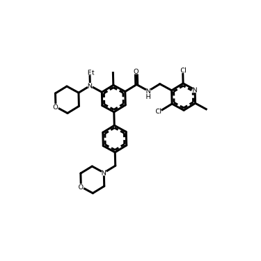 CCN(c1cc(-c2ccc(CN3CCOCC3)cc2)cc(C(=O)NCc2c(Cl)cc(C)nc2Cl)c1C)C1CCOCC1